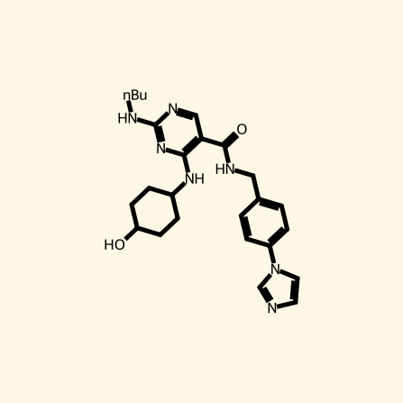 CCCCNc1ncc(C(=O)NCc2ccc(-n3ccnc3)cc2)c(NC2CCC(O)CC2)n1